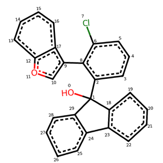 OC1(c2cccc(Cl)c2-c2coc3ccccc23)c2ccccc2-c2ccccc21